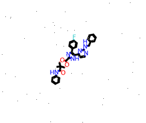 CC1(C(=O)Nc2ccccc2)COC(c2nc(-c3ccc(F)cc3)c(-c3ccnc(NCc4ccccc4)n3)[nH]2)OC1